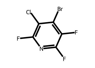 Fc1nc(F)c(Cl)c(Br)c1F